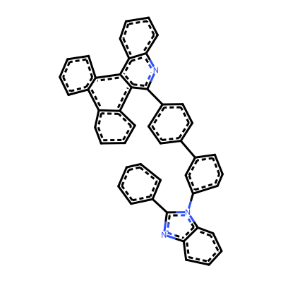 c1ccc(-c2nc3ccccc3n2-c2cccc(-c3ccc(-c4nc5ccccc5c5c6ccccc6c6ccccc6c45)cc3)c2)cc1